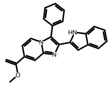 C=C(OC)c1ccn2c(-c3ccccc3)c(-c3cc4ccccc4[nH]3)nc2c1